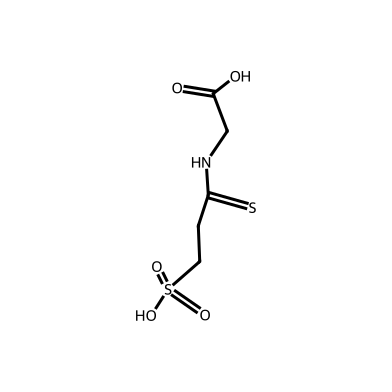 O=C(O)CNC(=S)CCS(=O)(=O)O